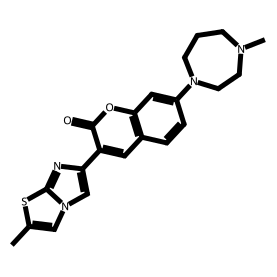 Cc1cn2cc(-c3cc4ccc(N5CCCN(C)CC5)cc4oc3=O)nc2s1